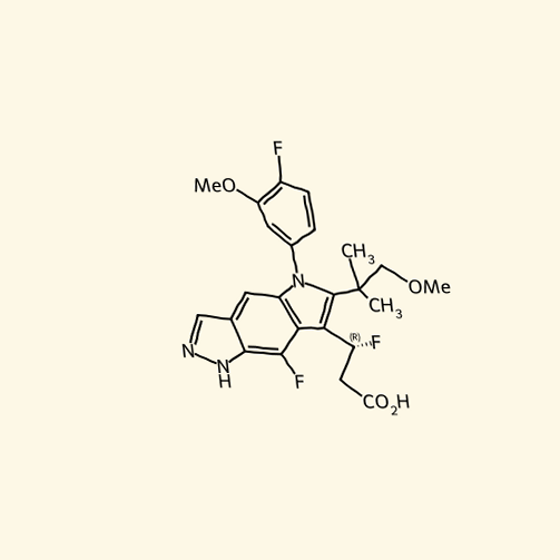 COCC(C)(C)c1c([C@H](F)CC(=O)O)c2c(F)c3[nH]ncc3cc2n1-c1ccc(F)c(OC)c1